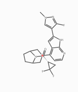 Cn1cc(-c2cc3c(N4CC5CCC(C4)N5C(=O)[C@@H]4CC4(F)F)ccnc3[nH]2)c(F)n1